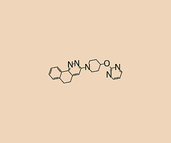 c1cnc(OC2CCN(c3cc4c(nn3)-c3ccccc3CC4)CC2)nc1